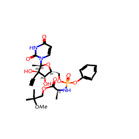 C#C[C@@]1(O)[C@H](O)[C@@H](COP(=O)(N[C@@H](C)C(=O)OCC(C)(C)OC)Oc2ccccc2)O[C@@]1(C)n1ccc(=O)[nH]c1=O